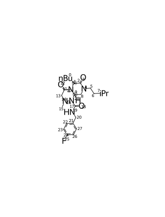 CCCC[C@H]1C(=O)N(CCC(C)C)C[C@H]2N1C(=O)CN(C)N2C(=O)NCc1ccc(F)cc1